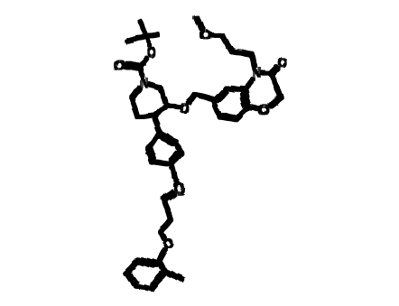 COCCCN1C(=O)COc2ccc(COC3CN(C(=O)OC(C)(C)C)CCC3c3ccc(OCCCOc4ccccc4C)cc3)cc21